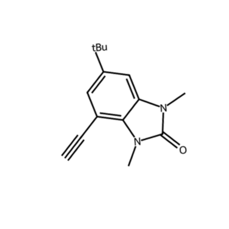 C#Cc1cc(C(C)(C)C)cc2c1n(C)c(=O)n2C